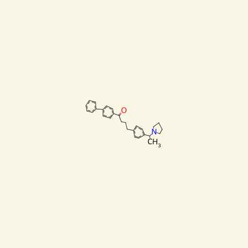 CC(c1ccc(CCCC(=O)c2ccc(-c3ccccc3)cc2)cc1)N1CCCC1